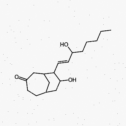 CCCCCC(O)C=CC1C(O)CC2CCC(=O)CC1C2